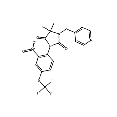 CC1(C)C(=O)N(c2ccc(SC(F)(F)F)cc2[N+](=O)[O-])C(=O)N1Cc1ccncc1